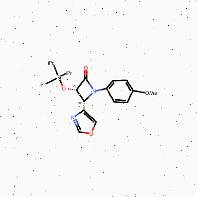 COc1ccc(N2C(=O)[C@@H](O[Si](C(C)C)(C(C)C)C(C)C)[C@H]2c2cocn2)cc1